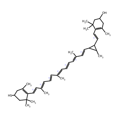 CC1=C(/C=C/C2C(C)C2/C=C/C(C)=C/C=C/C=C(C)/C=C/C=C(C)/C=C/C2=C(C)CC(S)CC2(C)C)C(C)(C)CC(O)C1